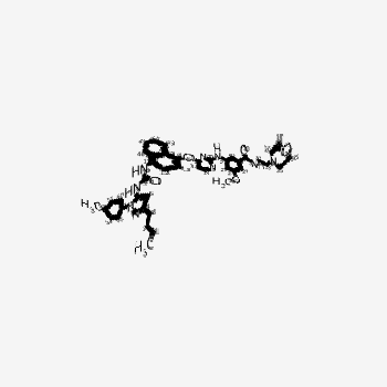 CCCCc1cc(NC(=O)Nc2ccc(Oc3ccnc(Nc4cc(OC)cc(C(=O)NCCN5CCOCC5)c4)n3)c3ccccc23)n(-c2ccc(C)cc2)n1